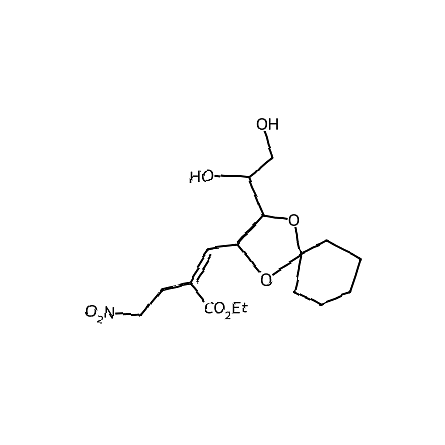 CCOC(=O)C(=CC1OC2(CCCCC2)OC1C(O)CO)CC[N+](=O)[O-]